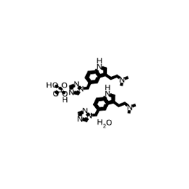 CN(C)CCc1c[nH]c2ccc(Cn3cncn3)cc12.CN(C)CCc1c[nH]c2ccc(Cn3cncn3)cc12.O.O=S(=O)(O)O